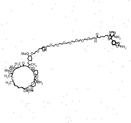 CO[C@H]1C[C@]2(O)CC[C@@H](C)[C@@](O)(O2)C(=O)C(=O)N2CCCC[C@H]2C(=O)O[C@H]([C@H](C)C[C@@H]2CC[C@@H](OCCOCc3cn(CCOCCOCCOCCOCCOCCOCCOCCNC(=O)CCCCn4nc(-c5ccc6oc(N)nc6c5)c5c(N)ncnc54)nn3)[C@H](OC)C2)CC(=O)[C@H](C)/C=C(\C)[C@@H](O)[C@@H](OC)C(=O)[C@H](C)C[C@H](C)/C=C/C=C/C=C/1C